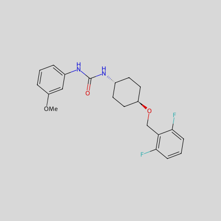 COc1cccc(NC(=O)N[C@H]2CC[C@H](OCc3c(F)cccc3F)CC2)c1